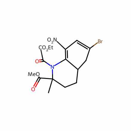 CCOC(=O)C(=O)N1C2=C([N+](=O)[O-])C=C(Br)CC2CCC1(C)C(=O)OC